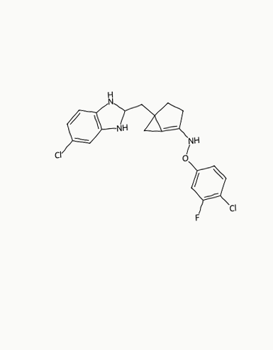 Fc1cc(ONC2=C3CC3(CC3Nc4ccc(Cl)cc4N3)CC2)ccc1Cl